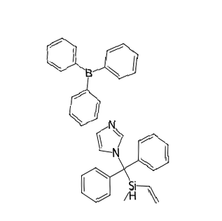 C=C[SiH](C)C(c1ccccc1)(c1ccccc1)n1ccnc1.c1ccc(B(c2ccccc2)c2ccccc2)cc1